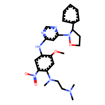 COc1cc(N(C)CCN(C)C)c([N+](=O)[O-])cc1Nc1cc(N2OCCC2c2ccccc2)ncn1